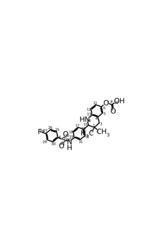 CC1(C)Cc2cc(OC(=O)O)ccc2NC1c1ccc(NS(=O)(=O)c2ccc(F)cc2)cc1